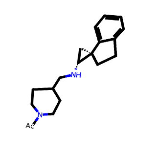 CC(=O)N1CCC(CN[C@@H]2C[C@]23CCc2ccccc23)CC1